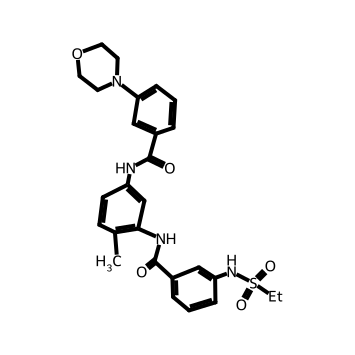 CCS(=O)(=O)Nc1cccc(C(=O)Nc2cc(NC(=O)c3cccc(N4CCOCC4)c3)ccc2C)c1